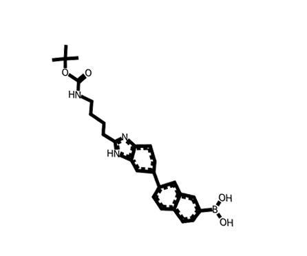 CC(C)(C)OC(=O)NCCCCc1nc2ccc(-c3ccc4ccc(B(O)O)cc4c3)cc2[nH]1